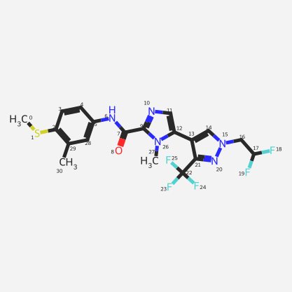 CSc1ccc(NC(=O)c2ncc(-c3cn(CC(F)F)nc3C(F)(F)F)n2C)cc1C